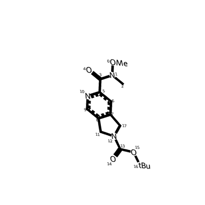 CON(C)C(=O)c1cc2c(cn1)CN(C(=O)OC(C)(C)C)C2